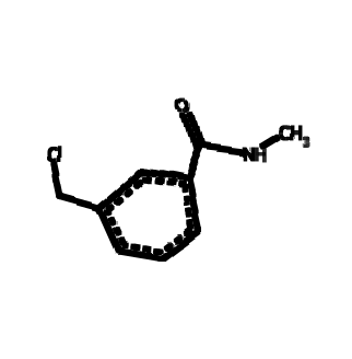 CNC(=O)c1cccc(CCl)c1